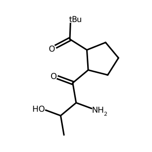 CC(O)C(N)C(=O)C1CCCC1C(=O)C(C)(C)C